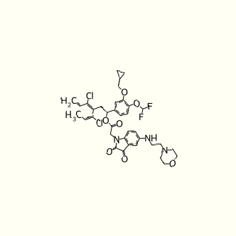 C=C/C(Cl)=C(C[C@H](OC(=O)CN1C(=O)C(=O)c2cc(NCCN3CCOCC3)ccc21)c1ccc(OC(F)F)c(OCC2CC2)c1)\C(Cl)=C/C